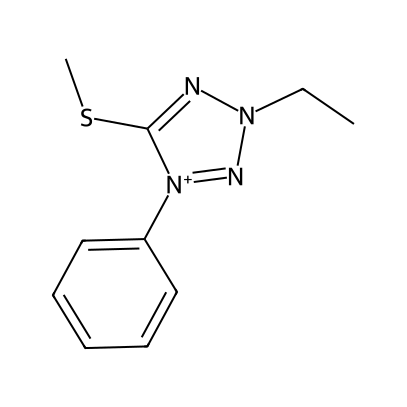 CCn1nc(SC)[n+](-c2ccccc2)n1